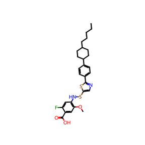 CCCCCC1CCC(c2ccc(-c3ncc(SNc4cc(F)c(C(=O)O)cc4OC)s3)cc2)CC1